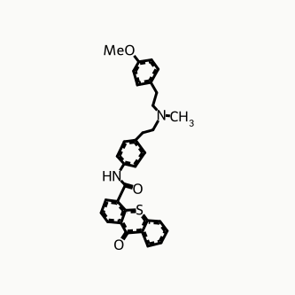 COc1ccc(CCN(C)CCc2ccc(NC(=O)c3cccc4c(=O)c5ccccc5sc34)cc2)cc1